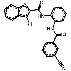 N#Cc1cccc(C(=O)Nc2ccccc2NC(=O)c2sc3ccccc3c2Cl)c1